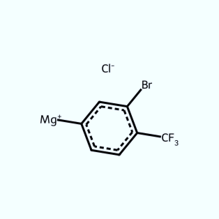 FC(F)(F)c1cc[c]([Mg+])cc1Br.[Cl-]